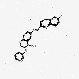 O[C@@H]1c2cc(OCc3ccc4cc(F)ccc4n3)ccc2OC[C@@H]1Oc1cccnc1